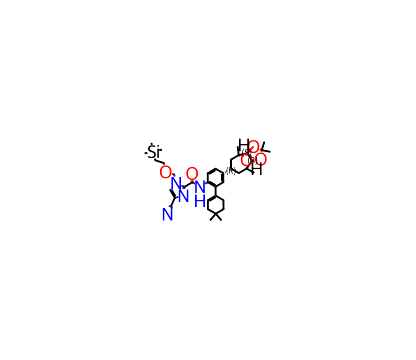 CC1(C)CC=C(c2cc([C@H]3CC4(C)OC(C)(C3)[C@H]3OC(C)(C)O[C@H]34)ccc2NC(=O)c2nc(C#N)cn2COCC[Si](C)(C)C)CC1